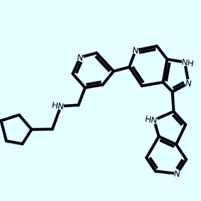 c1cc2[nH]c(-c3n[nH]c4cnc(-c5cncc(CNCC6CCCC6)c5)cc34)cc2cn1